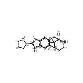 CC1(C)[C@H]2Cc3cc4nc(C5CCCO5)[nH]c4cc3[C@]1(C)CCN2